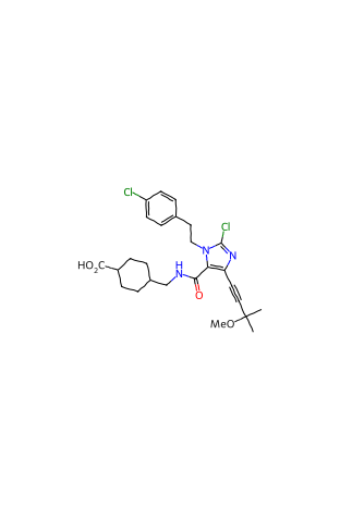 COC(C)(C)C#Cc1nc(Cl)n(CCc2ccc(Cl)cc2)c1C(=O)NCC1CCC(C(=O)O)CC1